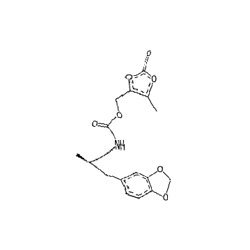 Cc1oc(=O)oc1COC(=O)N[C@H](C)Cc1ccc2c(c1)OCO2